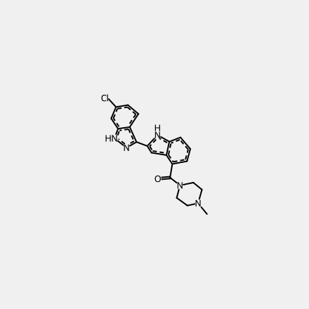 CN1CCN(C(=O)c2cccc3[nH]c(-c4n[nH]c5cc(Cl)ccc45)cc23)CC1